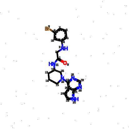 O=C(CNc1cccc(Br)c1)NC1CCCN(c2ncnc3[nH]ccc23)C1